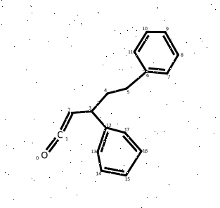 O=C=CC(CCc1ccccc1)c1ccccc1